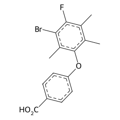 Cc1c(C)c(Oc2ccc(C(=O)O)cc2)c(C)c(Br)c1F